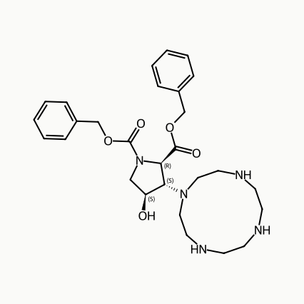 O=C(OCc1ccccc1)[C@H]1[C@H](N2CCNCCNCCNCC2)[C@@H](O)CN1C(=O)OCc1ccccc1